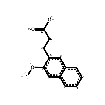 COc1cc2ccccc2cc1CCC(=O)O